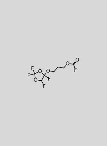 O=C(F)OCCCOC1(F)OC(F)(F)OC1F